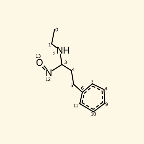 CCNC(CCc1ccccc1)N=O